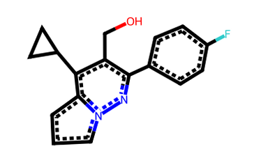 OCc1c(-c2ccc(F)cc2)nn2cccc2c1C1CC1